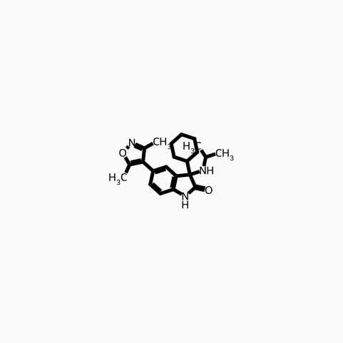 Cc1noc(C)c1-c1ccc2c(c1)C(NC(C)C)(C1CCCCC1)C(=O)N2